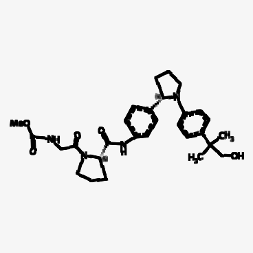 COC(=O)NCC(=O)N1CCC[C@H]1C(=O)Nc1ccc([C@@H]2CCCN2c2ccc(C(C)(C)CO)cc2)cc1